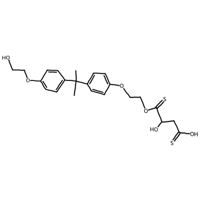 CC(C)(c1ccc(OCCO)cc1)c1ccc(OCCOC(=S)C(O)CC(O)=S)cc1